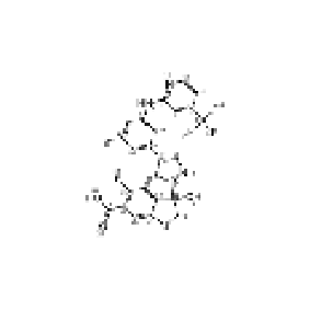 Cc1cc(Nc2cc(C(F)(F)F)ccn2)nc(-c2cnc(C3(O)CCc4cc(C(=O)O)c(F)cc43)s2)c1